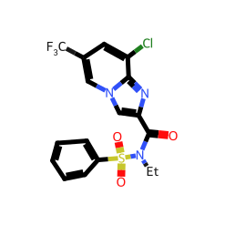 CCN(C(=O)c1cn2cc(C(F)(F)F)cc(Cl)c2n1)S(=O)(=O)c1ccccc1